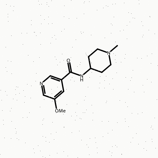 COc1cncc(C(=O)NC2CCN(C)CC2)c1